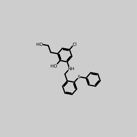 OCCc1cc(Cl)cc(NCc2ccccc2Sc2ccccc2)c1O